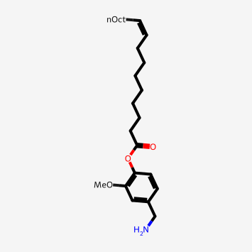 CCCCCCCC/C=C\CCCCCCCC(=O)Oc1ccc(CN)cc1OC